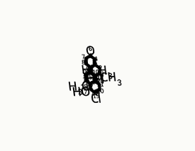 C[C@@H]1CC2=CC(=O)C=C[C@]2(C)[C@H]2CC[C@]3(C)C(O)C(Cl)=CC[C@H]3[C@H]12